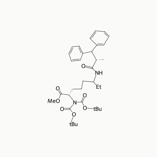 CCC(CCC[C@@H](C(=O)OC)N(C(=O)OC(C)(C)C)C(=O)OC(C)(C)C)NC(=O)[C@@H](C)C(c1ccccc1)c1ccccc1